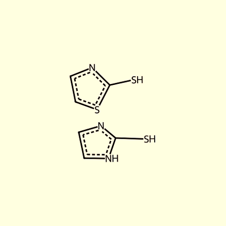 Sc1ncc[nH]1.Sc1nccs1